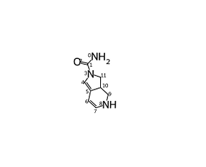 NC(=O)N1C=C2C=CNCC2C1